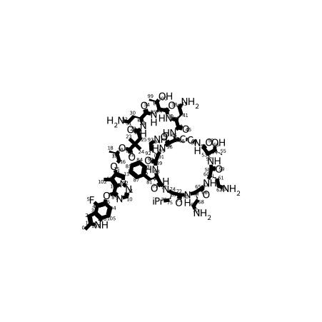 Cc1cc2c(F)c(Oc3ncnn4cc(OC[C@@H](C)OC(=O)C(C)(C)CC(=O)N[C@@H](CCN)C(=O)N[C@H](C(=O)N[C@@H](CCN)C(=O)N[C@H]5CCNC(=O)[C@H]([C@@H](C)O)NC(=O)[C@H](CCN)NC(=O)[C@H](CCN)NC(=O)[C@H](CC(C)C)NC(=O)[C@@H](Cc6ccccc6)NC(=O)[C@H](CCN)NC5=O)[C@@H](C)O)c(C)c34)ccc2[nH]1